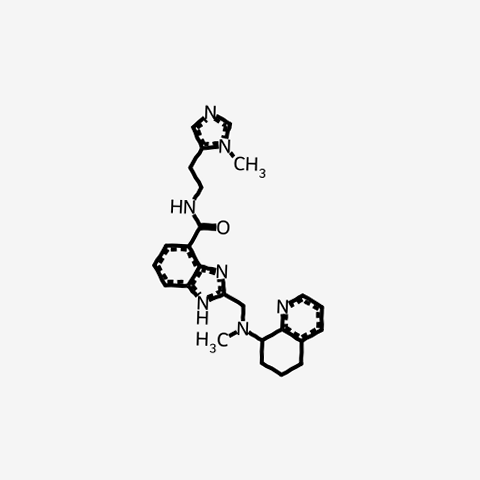 CN(Cc1nc2c(C(=O)NCCc3cncn3C)cccc2[nH]1)C1CCCc2cccnc21